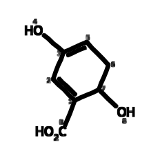 O=C(O)C1=CC(O)=CCC1O